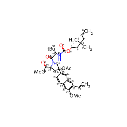 C=CCC(C)(C)CCOC(=O)NC(C(=O)N1C[C@](OC(C)=O)(c2ccc3cc(OC)c(C=C)cc3c2)C[C@H]1C(=O)OC)C(C)(C)C